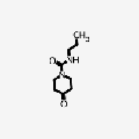 CCCNC(=O)N1CCC(=O)CC1